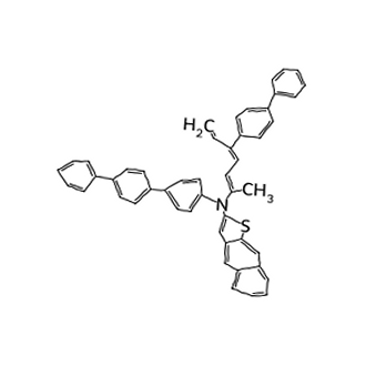 C=C/C(=C\C=C(/C)N(c1ccc(-c2ccc(-c3ccccc3)cc2)cc1)c1cc2cc3ccccc3cc2s1)c1ccc(-c2ccccc2)cc1